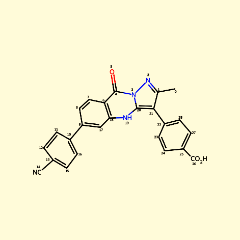 Cc1nn2c(=O)c3ccc(-c4ccc(C#N)cc4)cc3[nH]c2c1-c1ccc(C(=O)O)cc1